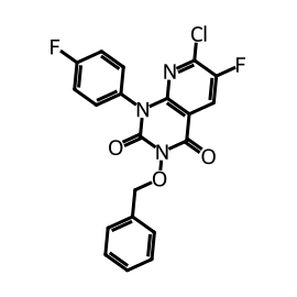 O=c1c2cc(F)c(Cl)nc2n(-c2ccc(F)cc2)c(=O)n1OCc1ccccc1